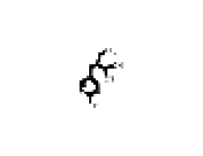 CC(C)c1ncc(CC(CC(F)(F)F)C(C#N)C#N)cn1